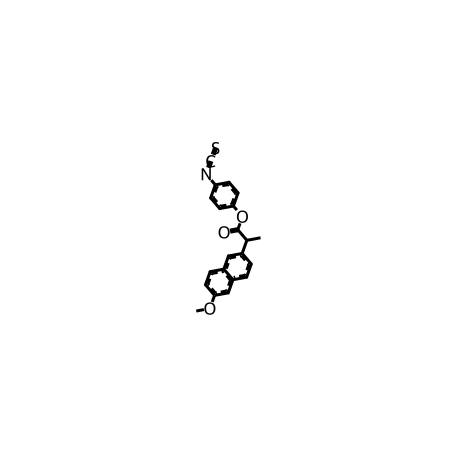 COc1ccc2cc(C(C)C(=O)Oc3ccc(N=C=S)cc3)ccc2c1